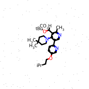 Cc1ncc(-c2ccc(OCCC(C)C)cn2)c(N2CCC(C)(C)CC2)c1C(OC(C)(C)C)C(=O)O